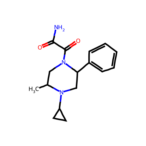 CC1CN(C(=O)C(N)=O)C(c2ccccc2)CN1C1CC1